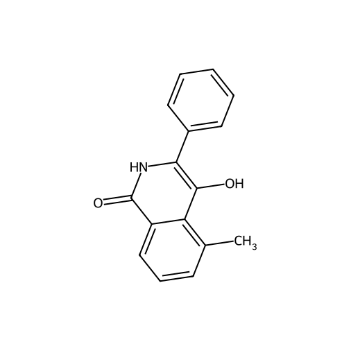 Cc1cccc2c(=O)[nH]c(-c3ccccc3)c(O)c12